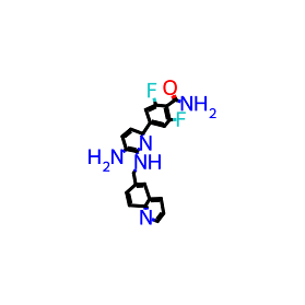 NC(=O)c1c(F)cc(-c2ccc(N)c(NCc3ccc4ncccc4c3)n2)cc1F